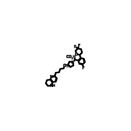 O=C(O)C(c1cc(F)ccc1C1CCC(F)(F)CO1)N1CC[C@@H](OCCCCc2ccc3c(n2)CCCN3)C1